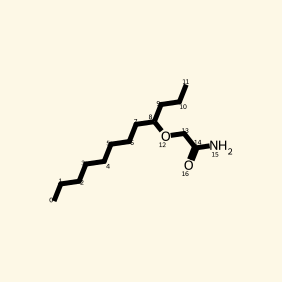 CCCCCCCCC(CCC)OCC(N)=O